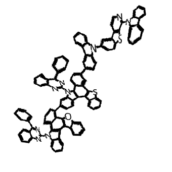 c1ccc(-c2nc(-n3c4ccccc4c4c5c6ccccc6oc5c5c(-c6ccc7c8c9c%10ccccc%10sc9c9cc(-c%10ccc%11c(c%10)c%10ccccc%10n%11-c%10ccc%11sc%12c(-n%13c%14ccccc%14c%14ccccc%14%13)nccc%12c%11c%10)ccc9c8n(-c8nc(-c9ccccc9)c9ccccc9n8)c7c6)cccc5c43)nc3ccccc23)cc1